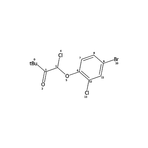 CC(C)(C)C(=O)C(Cl)Oc1ccc(Br)cc1Cl